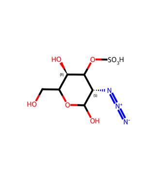 [N-]=[N+]=N[C@@H]1C(O)OC(CO)[C@@H](O)C1OS(=O)(=O)O